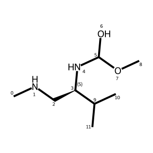 CNC[C@@H](NC(O)OC)C(C)C